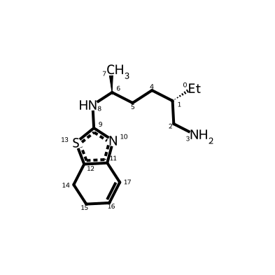 CC[C@H](CN)CC[C@H](C)Nc1nc2c(s1)CCC=C2